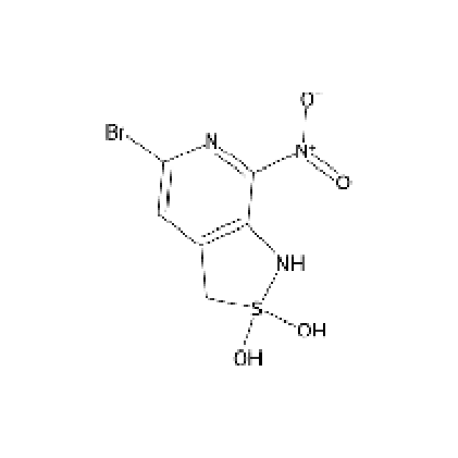 O=[N+]([O-])c1nc(Br)cc2c1NS(O)(O)C2